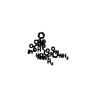 CC(C)OC(=O)[C@@H](C)N[P@](=O)(OC[C@H]1O[C@@H](n2ccc(N)nc2=O)[C@](C)(N=[N+]=[N-])[C@@H]1O)Oc1ccccc1